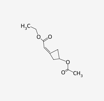 CCOC(=O)C=C1CC(OC(C)=O)C1